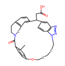 Cc1cc2ccc1C(=O)N1CCc3ccc(cc3C1)C(CC(=O)O)c1ccc3c(c1)nnn3CCCCCO2